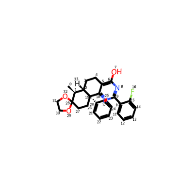 C[C@H]1[C@@H]2CCc3c(O)nc(-c4ccccc4F)nc3[C@@]2(c2ccccc2)CCC12OCCO2